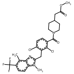 COC(=O)CC1CCN(C(=O)c2ccc(Cl)c(Cc3nc4c(C)c(C(F)(F)F)ccc4n3C)c2Cl)CC1